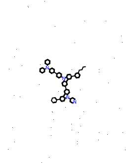 CCCCc1cccc(-c2ccc3c(c2)c2cc(-c4ccc5c(c4)c4cc(C6=CCCC=C6)ccc4n5-c4ccncc4)ccc2n3-c2ccc(-c3ccc(N(c4ccccc4)c4ccccc4)cc3)cc2)c1